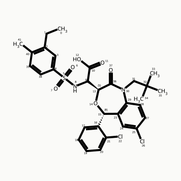 CCc1cc(S(=O)(=O)NC(C(=O)O)[C@@H]2O[C@@H](c3ccccc3Cl)c3cc(Cl)ccc3N(CC(C)(C)C)C2=O)ccc1C